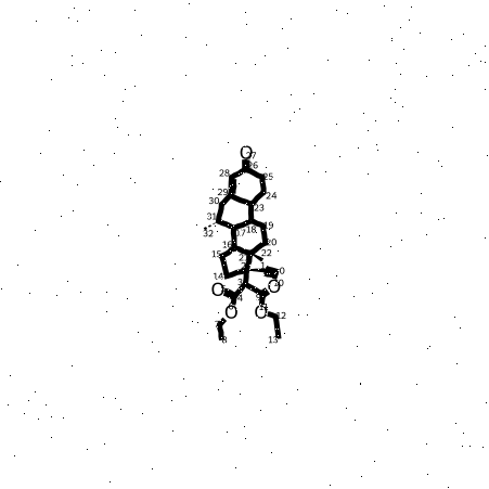 C#C[C@@]1(C(C(=O)OCC)C(=O)OCC)CCC2C3C(CC[C@@]21C)C1CCC(=O)C=C1C[C@H]3C